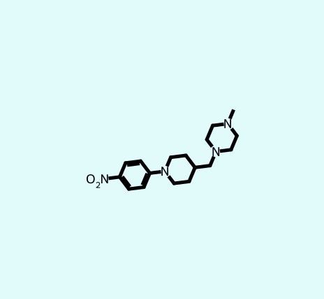 CN1CCN(CC2CCN(c3ccc([N+](=O)[O-])cc3)CC2)CC1